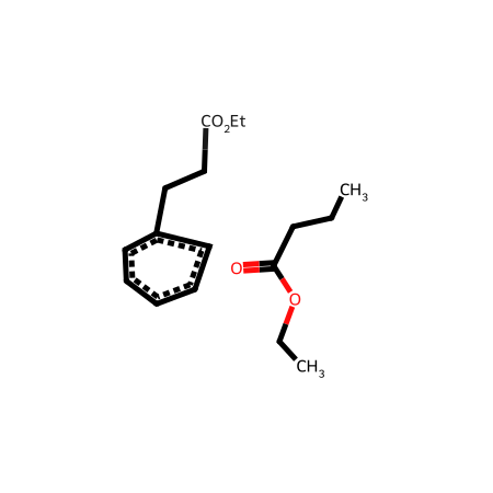 CCCC(=O)OCC.CCOC(=O)CCc1ccccc1